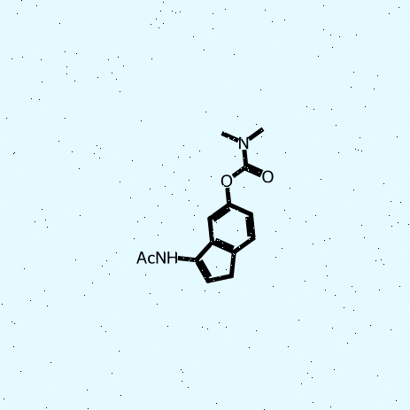 CC(=O)NC1=CCc2ccc(OC(=O)N(C)C)cc21